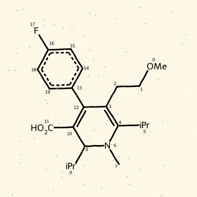 COCCC1=C(C(C)C)N(C)C(C(C)C)C(C(=O)O)=C1c1ccc(F)cc1